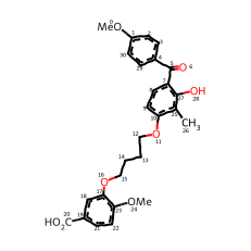 COc1ccc(C(=O)c2ccc(OCCCCOc3cc(C(=O)O)ccc3OC)c(C)c2O)cc1